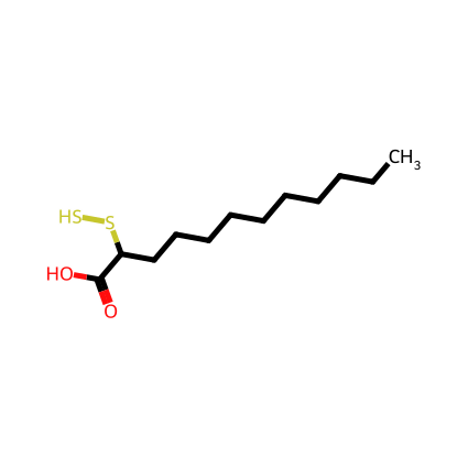 CCCCCCCCCCC(SS)C(=O)O